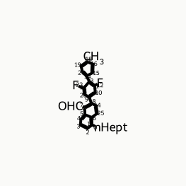 CCCCCCCc1cccc2c(C=O)c(-c3cc(F)c(-c4ccc(C)cc4)c(F)c3)ccc12